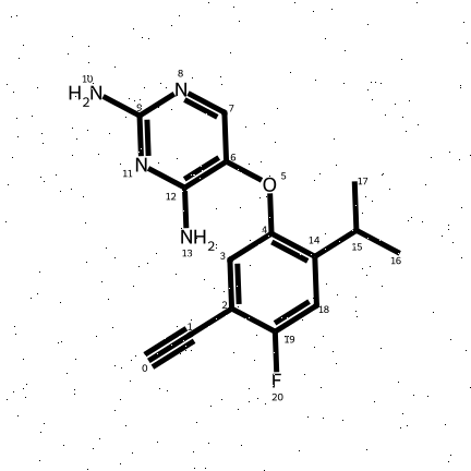 C#Cc1cc(Oc2cnc(N)nc2N)c(C(C)C)cc1F